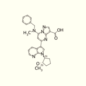 CO[C@H]1CCC[C@@H]1n1cc(-c2cc(N(C)Cc3ccccc3)n3ncc(C(=O)O)c3n2)c2cccnc21